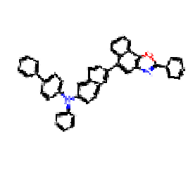 c1ccc(-c2ccc(N(c3ccccc3)c3ccc4cc(-c5cc6nc(-c7ccccc7)oc6c6ccccc56)ccc4c3)cc2)cc1